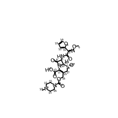 CO/N=C(/C(=O)NC1C(=O)N2C(C(=O)O)=C(COC(=O)N3CCN(C)CC3)C[S+]([O-])[C@H]12)c1ccco1